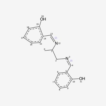 CC(C/N=C\c1ccccc1O)/N=C\c1ccccc1O